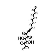 C=C(C)C(=O)C(O)C(O)C(=O)C(=O)C#CCCCCCCCCC